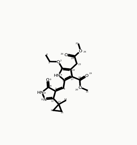 CCOc1[nH]c(C=C2C(=O)NN=C2C2(C)CC2)c(C(=O)OC)c1CC(=O)OC